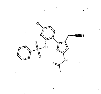 CC(=O)Nc1nc(CC#N)c(-c2ccc(Cl)nc2NS(=O)(=O)c2ccccc2)s1